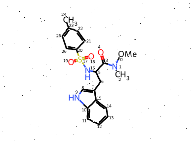 CON(C)C(=O)C(Cc1c[nH]c2ccccc12)NS(=O)(=O)c1ccc(C)cc1